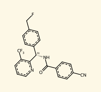 N#Cc1ccc(C(=O)N[C@@H](c2ccc(CF)cc2)c2ncccc2C(F)(F)F)cc1